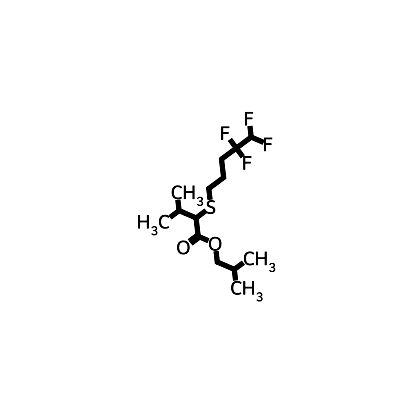 CC(C)COC(=O)C(SCCCC(F)(F)C(F)F)C(C)C